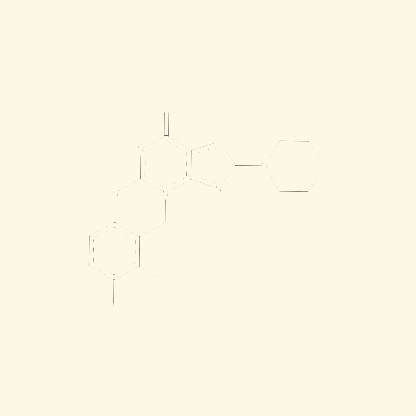 Cc1c(Cl)cccc1Cn1c(N)nc(=O)c2sc(N3CCOCC3)nc21